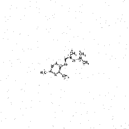 Cc1ccc(N=CN(C)SN(C)C)c(C)c1